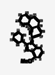 COc1cccc2c1nc(-c1ccccc1)n2-c1ccc2ccc3cccnc3c2n1